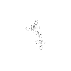 c1ccc(C2=NC(c3ccc4c(c3)oc3ccc(-n5c6ccccc6c6c(-c7ccccc7)cccc65)cc34)NC(c3ccccc3)=N2)cc1